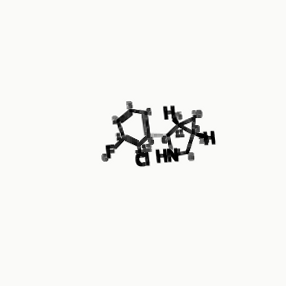 Fc1cccc([C@H]2NC[C@H]3C[C@H]32)c1Cl